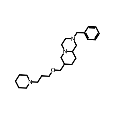 c1ccc(CN2CCN3CC(COCCCN4CCCCC4)CCC3C2)cc1